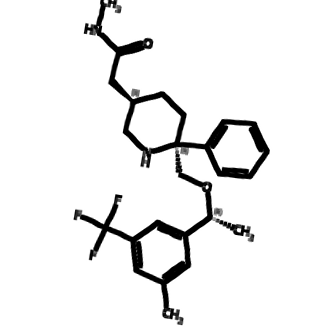 CNC(=O)C[C@H]1CC[C@@](CO[C@H](C)c2cc(C)cc(C(F)(F)F)c2)(c2ccccc2)NC1